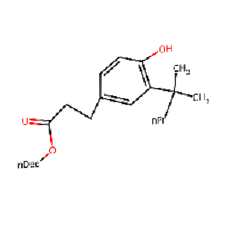 CCCCCCCCCCOC(=O)CCc1ccc(O)c(C(C)(C)CCC)c1